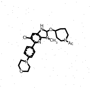 CC(=O)N1CCCC(OC2Nc3cc(Cl)c(-c4ccc(N5CCOCC5)cc4)nc3N2C)CC1